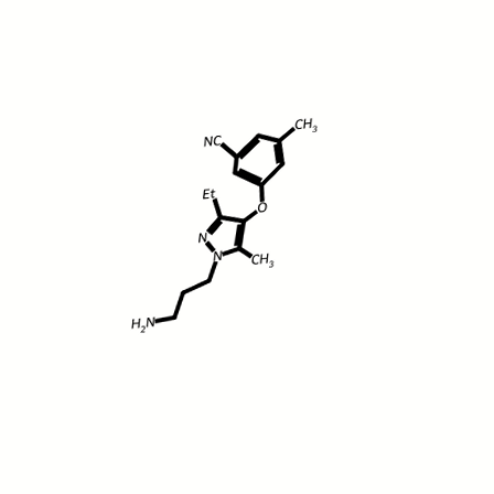 CCc1nn(CCCN)c(C)c1Oc1cc(C)cc(C#N)c1